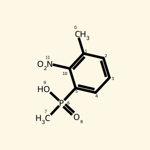 Cc1cccc(P(C)(=O)O)c1[N+](=O)[O-]